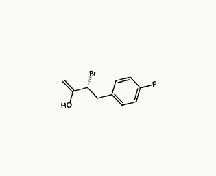 C=C(O)[C@H](Br)Cc1ccc(F)cc1